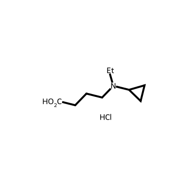 CCN(CCCC(=O)O)C1CC1.Cl